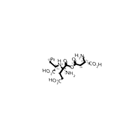 CC(C)C[C@H](N[C@](N)(CCC(=O)O)C(=O)OC(=O)C[C@H](N)C(=O)O)C(=O)O